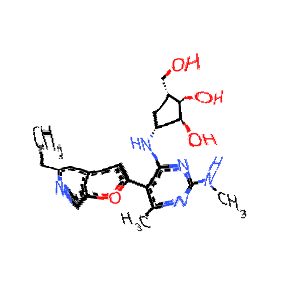 CCc1cc2cc(-c3c(C)nc(NC)nc3N[C@@H]3C[C@H](CO)[C@@H](O)[C@H]3O)oc2cn1